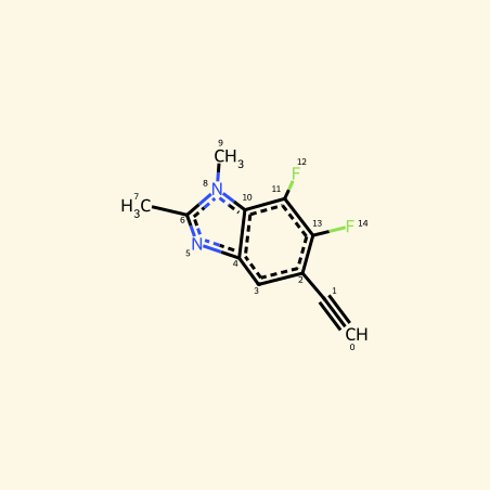 C#Cc1cc2nc(C)n(C)c2c(F)c1F